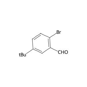 CC(C)(C)c1ccc(Br)c(C=O)c1